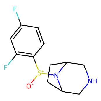 [O-][S+](c1ccc(F)cc1F)N1C2CCC1CNC2